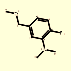 COCc1ccc(F)c(N(C)C)c1